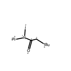 CC(C)N(I)C(=O)CC(C)(C)C